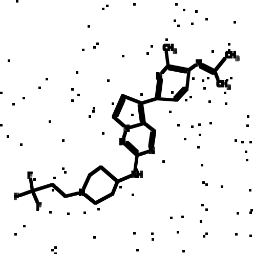 CC(C)=Nc1ccc(-c2ccn3nc(NC4CCN(CCC(F)(F)F)CC4)ncc23)nc1C